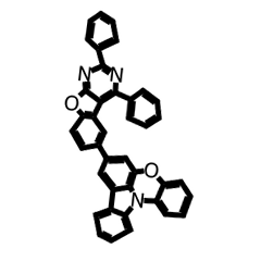 c1ccc(-c2nc(-c3ccccc3)c3c(n2)oc2ccc(-c4cc5c6c(c4)c4ccccc4n6-c4ccccc4O5)cc23)cc1